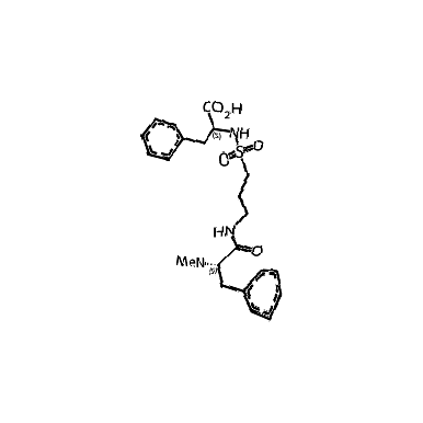 CN[C@@H](Cc1ccccc1)C(=O)NCCCS(=O)(=O)N[C@@H](Cc1ccccc1)C(=O)O